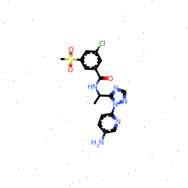 CC(NC(=O)c1cc(Cl)cc(S(C)(=O)=O)c1)c1ncnn1-c1ccc(N)cn1